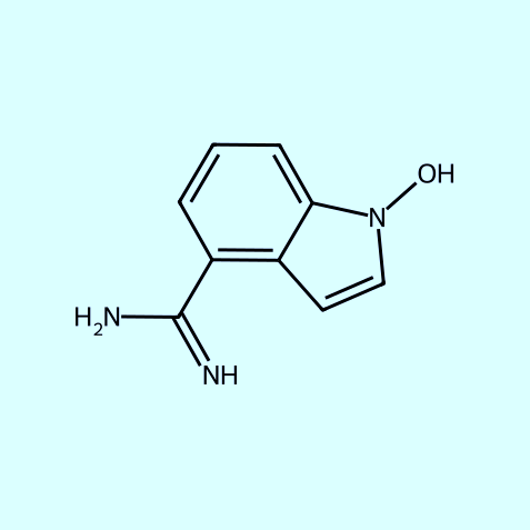 N=C(N)c1cccc2c1ccn2O